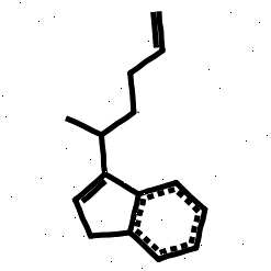 C=CC[CH]C(C)C1=CCc2ccccc21